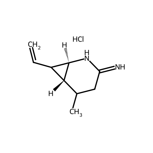 C=CC1[C@H]2C(C)CC(=N)N[C@H]12.Cl